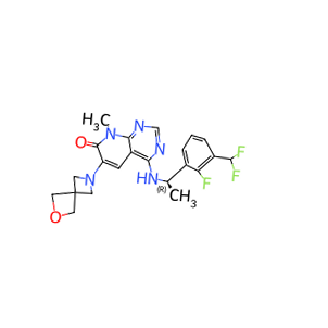 C[C@@H](Nc1ncnc2c1cc(N1CC3(COC3)C1)c(=O)n2C)c1cccc(C(F)F)c1F